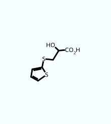 O=C(O)C(O)CSc1cccs1